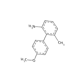 COc1ccc(-c2c(C)cccc2N)cc1